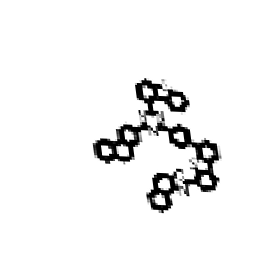 c1ccc2c(c1)CCc1cc(-c3nc(-c4ccc(-c5cccc6c5sc5c(-c7nc8c(ccc9ccccc98)o7)cccc56)cc4)nc(-c4cccc5sc6ccccc6c45)n3)ccc1-2